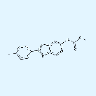 COC(=O)Oc1ccc2nc(-c3ccc(C)cc3)cn2c1